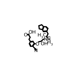 CC(C)(Cc1ccc2c(c1)CCC2)NC[C@@H](O)COc1cc(CCC(=O)O)ccc1C#N